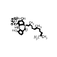 CCCCOP(=O)(OCCCC)Oc1cc(O)cc2c1Nc1c(O)cccc1C(=O)N2C/C=C(\C)CC/C=C(\C)CCC=C(C)C